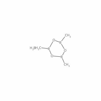 B.CB1OB(C)OB(C)O1